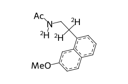 [2H]N(CC([2H])([2H])c1cccc2ccc(OC)cc12)C(C)=O